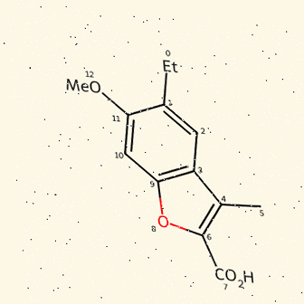 CCc1cc2c(C)c(C(=O)O)oc2cc1OC